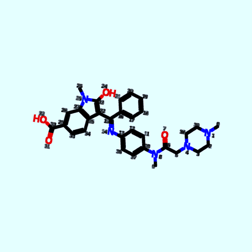 CN1CCN(CC(=O)N(C)c2ccc(N=C(c3ccccc3)c3c(O)n(C)c4cc(C(=O)O)ccc34)cc2)CC1